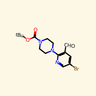 CC(C)(C)OC(=O)N1CCN(c2ncc(Br)cc2C=O)CC1